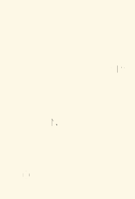 CCC/C=C(\c1ccccc1)N1CCOCC1